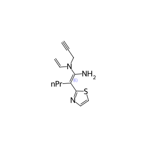 C#CCN(C=C)/C(N)=C(\CCC)c1nccs1